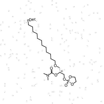 CCCCCCCCCCCCCCCCCCCCCCOC[C@H](COP1(=O)OCCO1)OC(=O)N(C)C